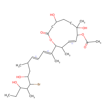 CCC(O)C(C)C(Br)C(O)CC(C)/C=C/C=C(\C)C1OC(=O)CC(O)CCC(C)(O)C(OC(C)=O)/C=C/C1C